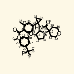 COC(=O)c1ccc(C2(NC(=O)C3(N4CC[C@@H](Oc5cccc(C(F)(F)F)c5)C4)CCOCC3)CC2)cc1C